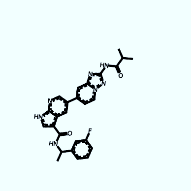 CC(C)C(=O)Nc1nc2cc(-c3cnc4[nH]cc(C(=O)NC(C)c5cccc(F)c5)c4c3)ccn2n1